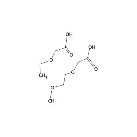 CCOCC(=O)O.COCCOCC(=O)O